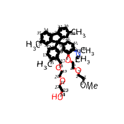 COCCOCCOc1cc(C2(c3ccc(C)c(COCCOCCO)c3)c3cc(C)ccc3-c3ccc(C)cc32)ccc1N(C)C